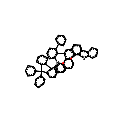 c1ccc(-c2ccccc2-c2c(-c3ccccc3)cccc2N(c2cccc(-c3cccc4c3sc3ccccc34)c2)c2cccc3c2-c2ccccc2C3(c2ccccc2)c2ccccc2)cc1